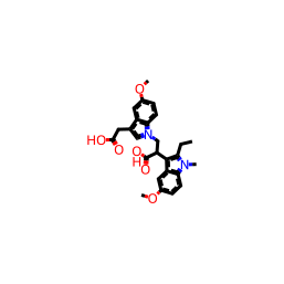 CCc1c(C(Cn2cc(CC(=O)O)c3cc(OC)ccc32)C(=O)O)c2cc(OC)ccc2n1C